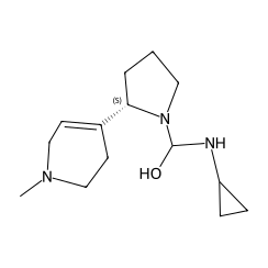 CN1CC=C([C@@H]2CCCN2C(O)NC2CC2)CC1